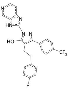 Oc1c(CCc2ccc(F)cc2)c(-c2ccc(C(F)(F)F)cc2)nn1-c1nc2ccncc2[nH]1